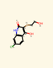 O=c1[nH]c2cc(Cl)ccc2c(O)c1SCCO